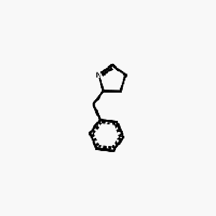 C1=NC(Cc2ccccc2)CC1